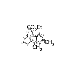 C=C(c1ccccc1)c1cc(C)ccc1CCCC(=O)OCC